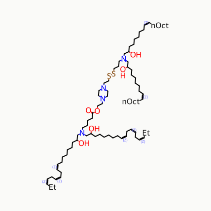 CC/C=C\C/C=C\C/C=C\CCCCCCC(O)CN(CCCCC(=O)OCCN1CCN(CCSSCCCN(CC(O)CCCCCC/C=C\CCCCCCCC)CC(O)CCCCCC/C=C\CCCCCCCC)CC1)CC(O)CCCCCC/C=C\C/C=C\C/C=C\CC